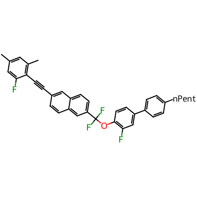 CCCCCc1ccc(-c2ccc(OC(F)(F)c3ccc4cc(C#Cc5c(C)cc(C)cc5F)ccc4c3)c(F)c2)cc1